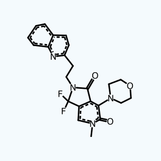 Cn1cc2c(c(N3CCOCC3)c1=O)C(=O)N(CCc1ccc3ccccc3n1)C2(F)F